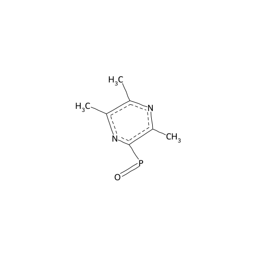 Cc1nc(C)c(P=O)nc1C